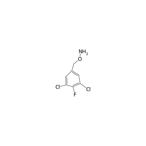 NOCc1cc(Cl)c(F)c(Cl)c1